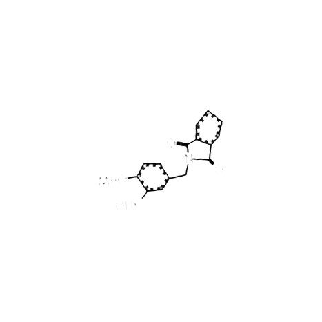 COc1ccc(CN2C(=O)c3ccccc3C2=O)cc1C=O